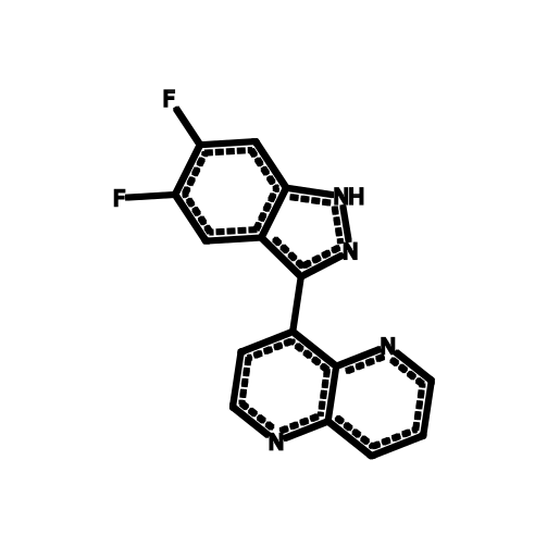 Fc1cc2[nH]nc(-c3ccnc4cccnc34)c2cc1F